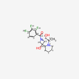 C[C@@H](CO)N1CCCCC1C1(O)CN(C(=O)c2ccc(F)c(F)c2F)C1